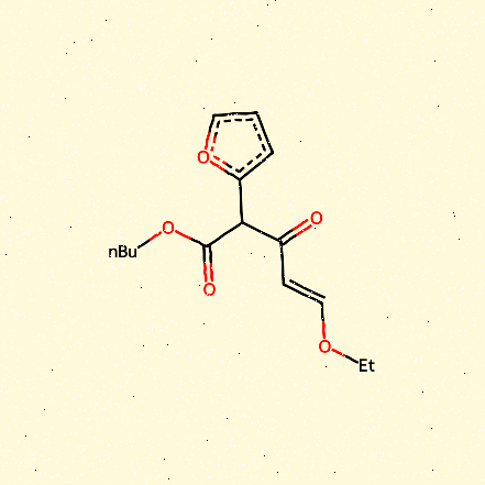 CCCCOC(=O)C(C(=O)C=COCC)c1ccco1